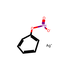 O=[PH]([O-])Oc1ccccc1.[Ag+]